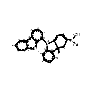 CC12CC(B(O)O)=CC=C1N(c1cccc3c1oc1ccccc13)c1ccccc12